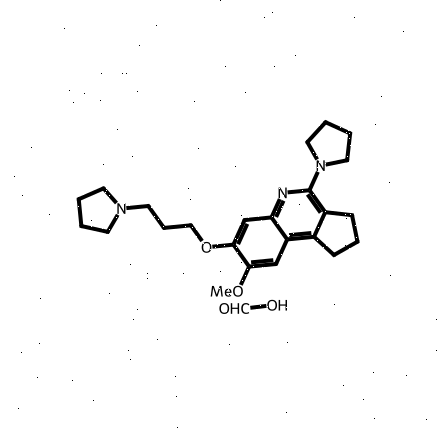 COc1cc2c3c(c(N4CCCC4)nc2cc1OCCCN1CCCC1)CCC3.O=CO